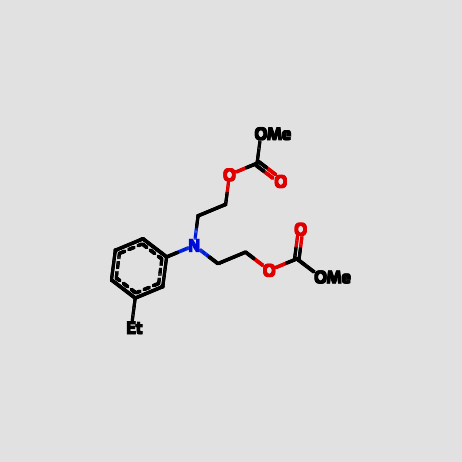 CCc1cccc(N(CCOC(=O)OC)CCOC(=O)OC)c1